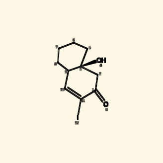 O=C1C[C@@]2(O)CCCCC2C=C1I